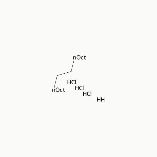 CCCCCCCCCCCCCCCCCC.Cl.Cl.Cl.[HH]